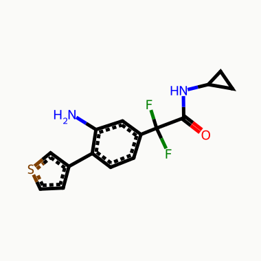 Nc1cc(C(F)(F)C(=O)NC2CC2)ccc1-c1ccsc1